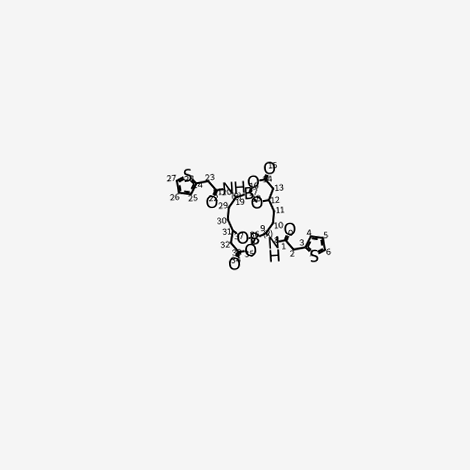 O=C(Cc1cccs1)N[C@H]1CCC2CC(=O)OB(O2)[C@@H](NC(=O)Cc2cccs2)CCC2CC(=O)OB1O2